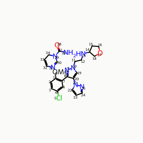 COc1ccc(Cl)cc1-c1nn(CCNC2CCOC2)cc1-n1cccn1.NC(=O)N1C=NC=CC1